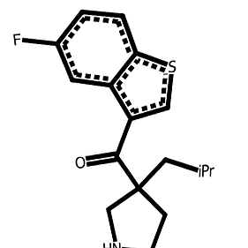 CC(C)CC1(C(=O)c2csc3ccc(F)cc23)CCNC1